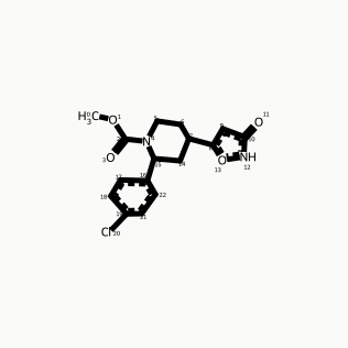 COC(=O)N1CCC(c2cc(=O)[nH]o2)CC1c1ccc(Cl)cc1